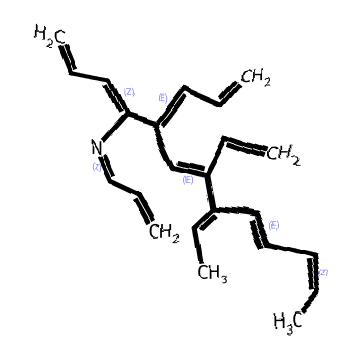 C=C\C=N/C(=C\C=C)C(/C=C(\C=C)C(=CC)/C=C/C=C\C)=C/C=C